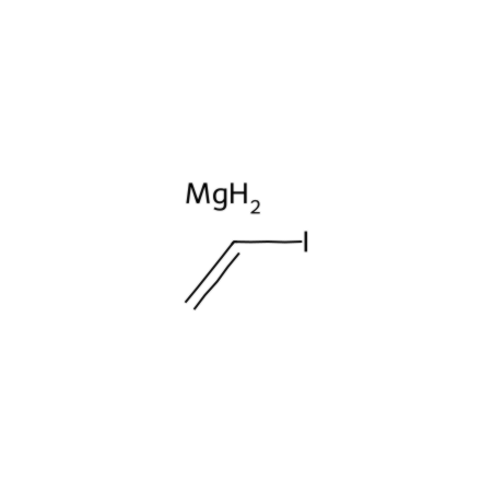 C=CI.[MgH2]